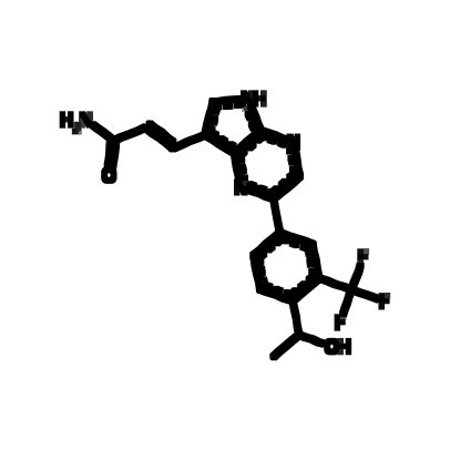 CC(O)c1ccc(-c2cnc3[nH]cc(C=CC(N)=O)c3n2)cc1C(F)(F)F